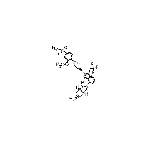 COc1cc(S(C)(=O)=O)ccc1NCC#Cc1nc2c([C@H]3C[C@H]4CN(C)C[C@H]4N3)cccn2c1CC(F)(F)F